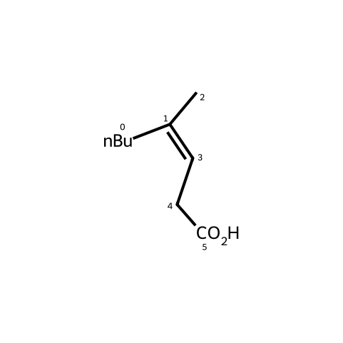 CCCC/C(C)=C\CC(=O)O